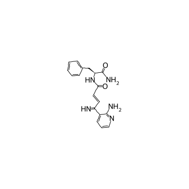 N=C(/C=C/C(=O)N[C@@H](Cc1ccccc1)C(N)=O)c1cccnc1N